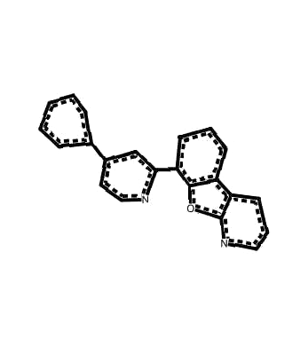 c1ccc(-c2ccnc(-c3cccc4c3oc3ncccc34)c2)cc1